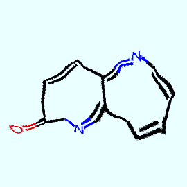 O=c1ccc2nccccc-2n1